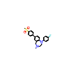 CN1CCN(c2ccc(F)cc2)c2ccc(-c3ccc(S(C)(=O)=O)cc3)cc2C1